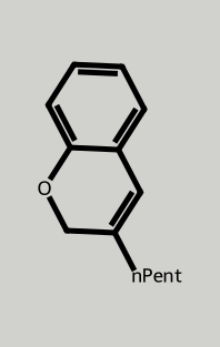 [CH2]CCCCC1=Cc2ccccc2OC1